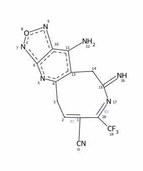 N#CC1=C/Cc2nc3nonc3c(N)c2CC(=N)/N=C\1C(F)(F)F